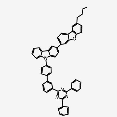 CCCCc1ccc2oc3cc(-c4ccc5c(c4)c4ccccc4n5-c4ccc(-c5cccc(-c6nc(-c7ccccc7)nc(-c7ccccc7)n6)c5)cc4)ccc3c2c1